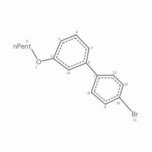 CCCCCOc1cccc(-c2ccc(Br)cc2)c1